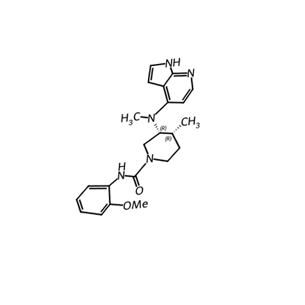 COc1ccccc1NC(=O)N1CC[C@@H](C)[C@@H](N(C)c2ccnc3[nH]ccc23)C1